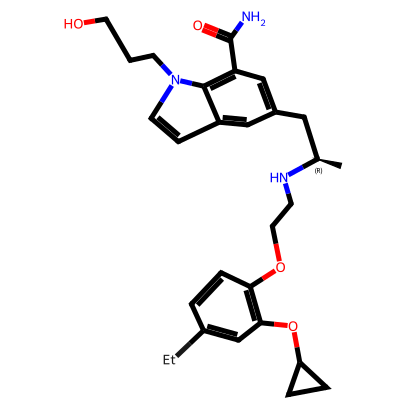 CCc1ccc(OCCN[C@H](C)Cc2cc(C(N)=O)c3c(ccn3CCCO)c2)c(OC2CC2)c1